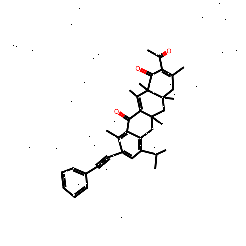 CC(=O)C1=C(C)CC2(C)CC3(C)Cc4c(C(C)C)cc(C#Cc5ccccc5)c(C)c4C(=O)C3=C(C)C2(C)C1=O